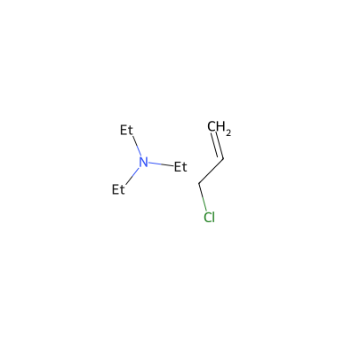 C=CCCl.CCN(CC)CC